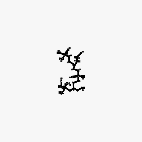 CC(C)(CC(CO)COP(=O)(O)OCC(COP(=O)(O)O)NNF)NF